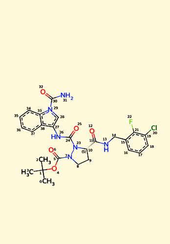 CC(C)(C)OC(=O)N1CC[C@@H](C(=O)NCc2cccc(Cl)c2F)N1C(=O)Nc1cn(C(N)=O)c2ccccc12